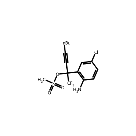 CCCCC#CC(OS(C)(=O)=O)(c1cc(Cl)ccc1N)C(F)(F)F